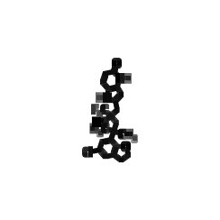 CC(C)(CC(O)(Cc1cc2[nH]c(=O)ccc2[nH]1)C(F)(F)F)c1cc(Cl)cc2c1OCC2